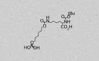 CC(C)(C)OC(=O)NC(CCCCNC(=O)OCCCCCCON(O)O)C(=O)O